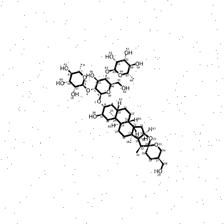 C[C@@H]1O[C@@H](O[C@H]2[C@H](O[C@@H]3C[C@@H]4CC[C@H]5[C@@H](CC[C@]6(C)[C@H]7[C@@H](C[C@@H]56)O[C@@]5(CC[C@H](CO)CO5)[C@H]7C)[C@@]4(C)C[C@H]3O)O[C@H](CO)[C@@H](O[C@@H]3O[C@@H](C)[C@H](O)[C@@H](O)[C@H]3O)[C@@H]2O)[C@H](O)[C@H](O)[C@H]1O